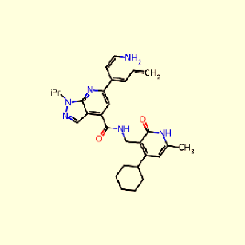 C=C/C=C(\C=C/N)c1cc(C(=O)NCc2c(C3CCCCC3)cc(C)[nH]c2=O)c2cnn(C(C)C)c2n1